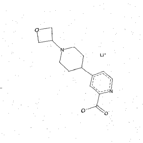 O=C([O-])c1cc(C2CCN(C3COC3)CC2)ccn1.[Li+]